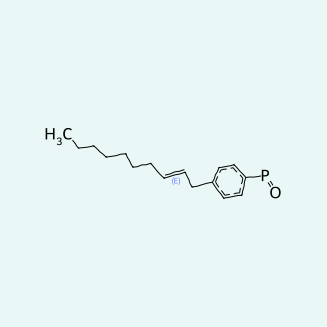 CCCCCCC/C=C/Cc1ccc(P=O)cc1